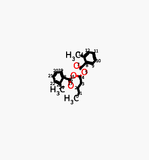 CCCCC(OC(=O)c1ccccc1C)OC(=O)c1ccccc1C